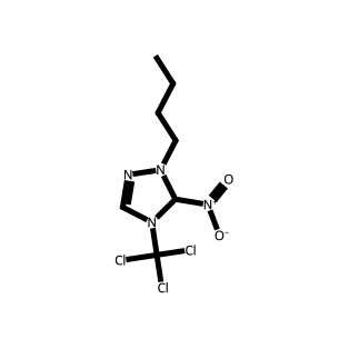 CCCCN1N=CN(C(Cl)(Cl)Cl)C1[N+](=O)[O-]